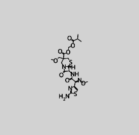 COCC1(C(=O)OCOC(=O)C(C)C)CS[C@@H]2C(NC(=O)C(=NOC)c3csc(N)n3)C(=O)N2C1